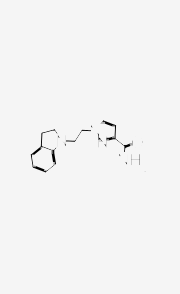 NC(=O)c1[c]cn(CCN2CCc3ccccc32)n1